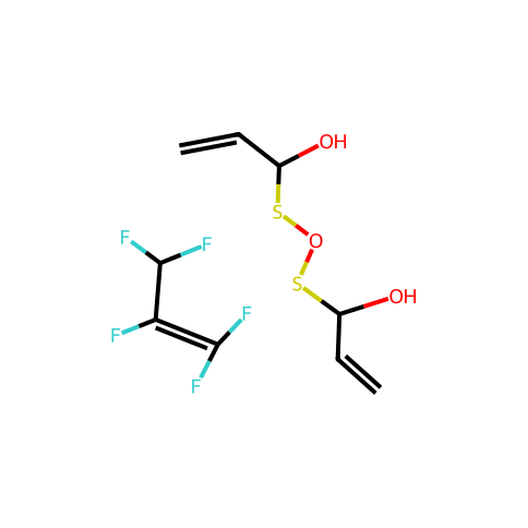 C=CC(O)SOSC(O)C=C.FC(F)=C(F)C(F)F